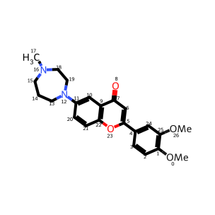 COc1ccc(-c2cc(=O)c3cc(N4CCCN(C)CC4)ccc3o2)cc1OC